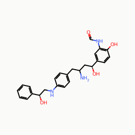 NC(Cc1ccc(NC[C@@H](O)c2ccccc2)cc1)C[C@H](O)c1ccc(O)c(NC=O)c1